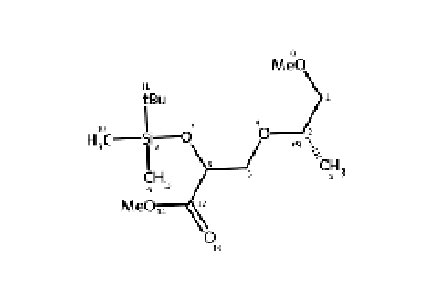 COC[C@H](C)OCC(O[Si](C)(C)C(C)(C)C)C(=O)OC